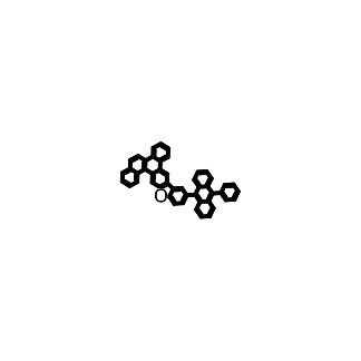 c1ccc(-c2c3ccccc3c(-c3ccc4oc5cc6c(cc5c4c3)c3ccccc3c3ccc4ccccc4c36)c3ccccc23)cc1